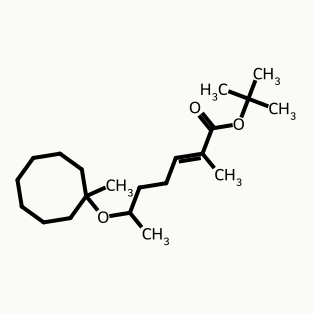 C/C(=C\CCC(C)OC1(C)CCCCCCC1)C(=O)OC(C)(C)C